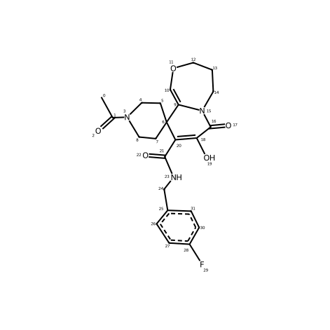 CC(=O)N1CCC2(CC1)C1=COCCCN1C(=O)C(O)=C2C(=O)NCc1ccc(F)cc1